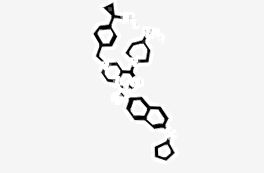 NC1CCN(C(=O)C2CN(Cc3ccc(C4(C(F)(F)F)CC4)cc3)CCN2S(=O)(=O)c2ccc3cc(OC4CCCC4)ccc3c2)CC1